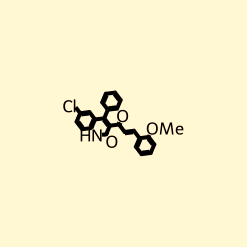 COc1ccccc1/C=C/C(=O)c1c(-c2ccccc2)c2cc(Cl)ccc2[nH]c1=O